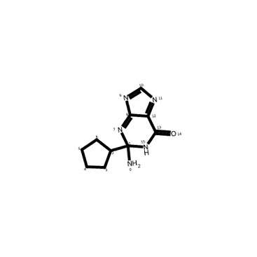 NC1(C2CCCC2)N=C2N=CN=C2C(=O)N1